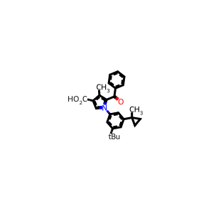 Cc1c(C(=O)O)cn(-c2cc(C(C)(C)C)cc(C3(C)CC3)c2)c1C(=O)c1ccccc1